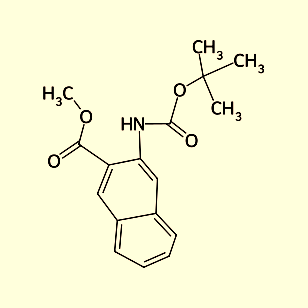 COC(=O)c1cc2ccccc2cc1NC(=O)OC(C)(C)C